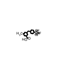 Cc1cc(Cc2ccc(S(=O)(=O)C(F)(F)F)cc2)cc(C(=O)O)c1